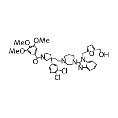 COc1cc(C(=O)N2CCC(CCN3CCCN(c4nc5ccccc5n4Cc4ccc(CO)o4)CC3)(c3ccc(Cl)c(Cl)c3)C2)cc(OC)c1OC